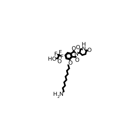 NCCCCCCCCCCOc1cccc2c1C(=O)N(C1CCC(=O)NC1=O)C2=O.O=C(O)C(F)(F)F